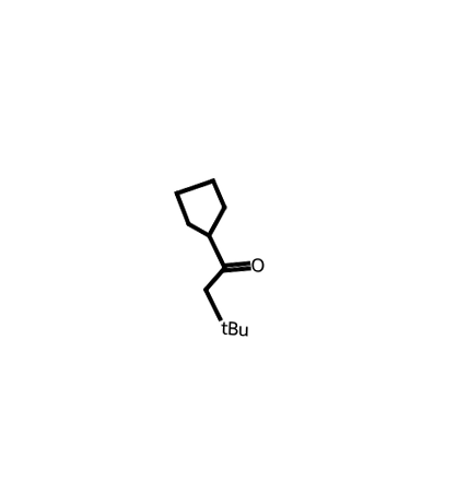 CC(C)(C)CC(=O)C1CCCC1